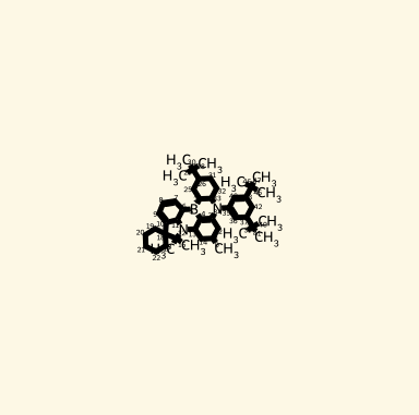 CC1CC2=C3B(C4C=CC=C5C4N(C3C1)C(C)(C)C51CCCCC1)C1CC(C(C)(C)C)CCC1N2C1=CC(C(C)(C)C)CC(C(C)(C)C)=C1